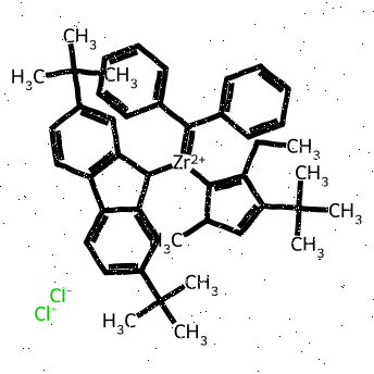 CCC1=[C]([Zr+2](=[C](c2ccccc2)c2ccccc2)[CH]2c3cc(C(C)(C)C)ccc3-c3ccc(C(C)(C)C)cc32)C(C)C=C1C(C)(C)C.[Cl-].[Cl-]